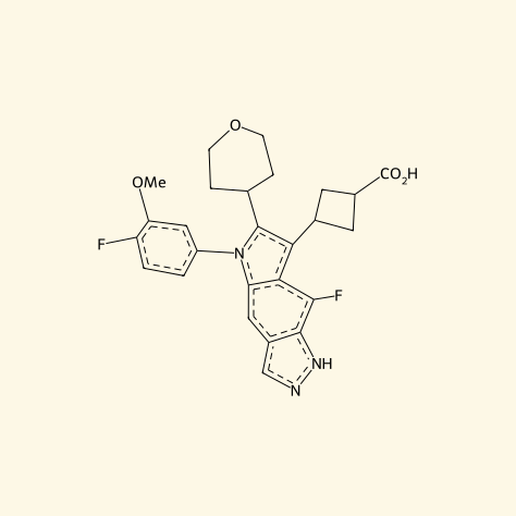 COc1cc(-n2c(C3CCOCC3)c(C3CC(C(=O)O)C3)c3c(F)c4[nH]ncc4cc32)ccc1F